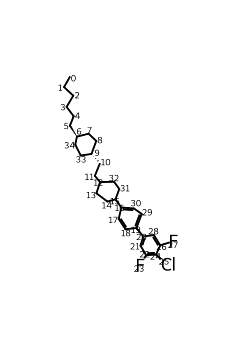 CCCCCC[C@H]1CC[C@H](CCC2CCC(c3ccc(-c4cc(F)c(Cl)c(F)c4)cc3)CC2)CC1